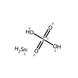 O=S(=O)(O)O.[SnH2]